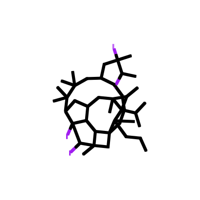 CCCC1(C)C23CCCCC(CC(C)(I)C(C)I)CC(C)(C)C(C)(C)C4CC(CC5(C)C(C)C51C(C)C)C1C2C(C)(C3)C(I)C14I